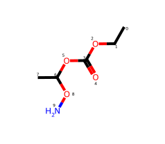 CCOC(=O)OC(C)ON